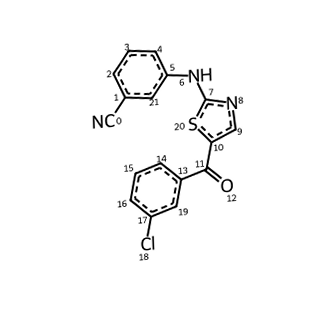 N#Cc1cccc(Nc2ncc(C(=O)c3cccc(Cl)c3)s2)c1